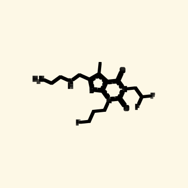 Cc1c(CNCCN)sc2c1c(=O)n(CC(F)F)c(=O)n2CCCF